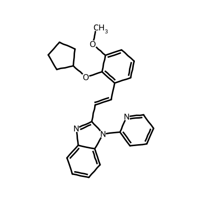 COc1cccc(C=Cc2nc3ccccc3n2-c2ccccn2)c1OC1CCCC1